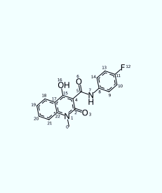 Cn1c(=O)c(C(=O)Nc2ccc(F)cc2)c(O)c2ccccc21